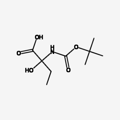 CCC(O)(NC(=O)OC(C)(C)C)C(=O)O